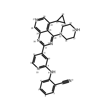 N#Cc1ccccc1Nc1cc(-c2nc(N3CCNCC3)c3c(C4CC4)cncc3n2)ccn1